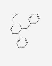 OC[C@@H]1CN(Cc2ccccc2)[C@H](c2ccccc2)CO1